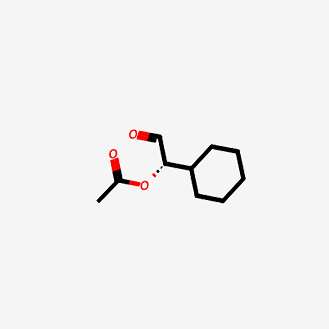 CC(=O)O[C@H](C=O)C1CCCCC1